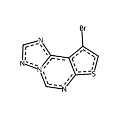 Brc1csc2ncn3ncnc3c12